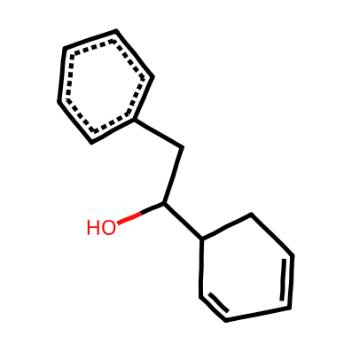 OC(Cc1ccccc1)C1C=CC=CC1